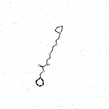 O=C(NCCOCCOCCN1CCCC1)OCc1ccccc1